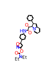 CCN(CC)C(=O)Oc1cc(-c2ccc(NC(=O)C(=O)C3C(c4ccccc4)C=C4C=CC=CN43)cc2)on1